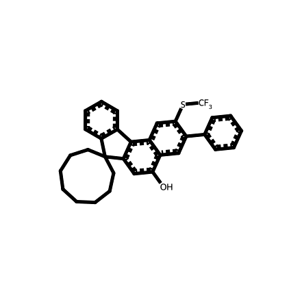 Oc1cc2c(c3cc(SC(F)(F)F)c(-c4ccccc4)cc13)-c1ccccc1C21CCCCCCCC1